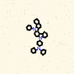 c1ccc(N(c2ccccc2)c2ccc(-n3c4ccccc4c4c5c6ccc7ccccc7c6n(-c6ccccc6)c5ccc43)cc2)cc1